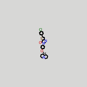 O=c1c2sc(-c3ccc(Cl)cc3)cc2ncn1-c1ccc(OC[C@@H]2CCCN3CCCC[C@H]23)cc1